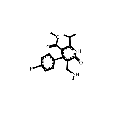 CNCc1c(-c2ccc(F)cc2)c(C(=O)OC)c(C(C)C)[nH]c1=O